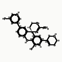 NC1=N[C@]2(CCO1)c1cc(-c3cncc(F)c3)ccc1Oc1c2cc(C2=CCCOC2)nc1F